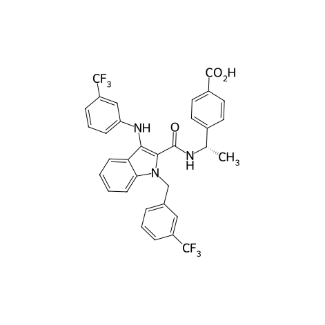 C[C@H](NC(=O)c1c(Nc2cccc(C(F)(F)F)c2)c2ccccc2n1Cc1cccc(C(F)(F)F)c1)c1ccc(C(=O)O)cc1